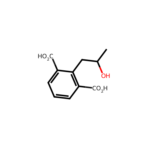 CC(O)Cc1c(C(=O)O)cccc1C(=O)O